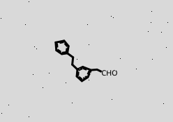 O=CCc1cccc(CCc2ccccc2)c1